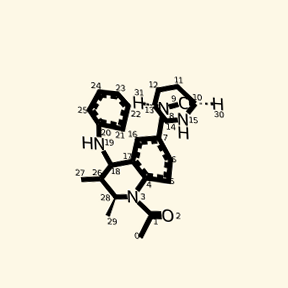 CC(=O)N1c2ccc(N3C[C@H]4CC[C@@H]3CN4)cc2C(Nc2ccccc2)C(C)[C@@H]1C